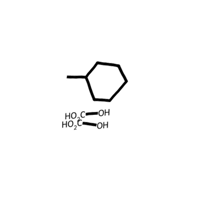 CC1CCCCC1.O=C(O)O.O=C(O)O